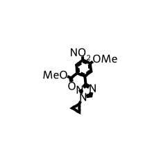 COC(=O)c1cc([N+](=O)[O-])c(OC)cc1-c1ncn(C2CC2)n1